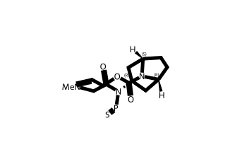 C=CCOC(=O)N1[C@@H]2CC[C@H]1C[C@@H](N(P=S)C(=O)CNC)C2